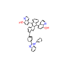 Oc1ccc(-c2c3ccccc3c(-c3ccc(O)c4ncccc34)c3c2ccc2c(-c4ccc(-c5nc6ccccc6n5-c5ccccc5)cc4)cccc23)c2cccnc12